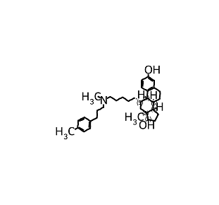 Cc1ccc(CCCN(C)CCCCC[C@H]2C[C@]3(C)[C@@H](O)CC[C@H]3[C@@H]3CCc4cc(O)ccc4[C@@H]23)cc1